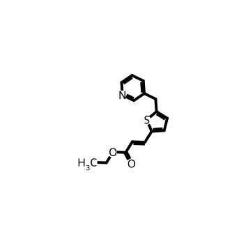 CCOC(=O)C=Cc1ccc(Cc2cccnc2)s1